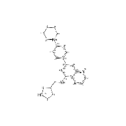 c1cnc2c(NCC3CCNC3)nc(-c3ccc(N4CCCCC4)cc3)cc2n1